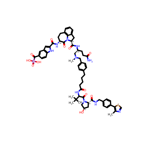 Cc1ncsc1-c1ccc(CNC(=O)[C@@H]2C[C@@H](O)CN2C(=O)C(NC(=O)CCCCc2ccc(CN(C)C[C@H](CCC(N)=O)NC(=O)[C@@H]3Cc4cccc5c4N3C(=O)[C@@H](NC(=O)c3cc4cc(C(=O)P(=O)(O)O)ccc4[nH]3)CC5)cc2)C(C)(C)C)cc1